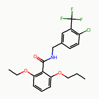 CCCOc1cccc(OCC)c1C(=O)NCc1ccc(Cl)c(C(F)(F)F)c1